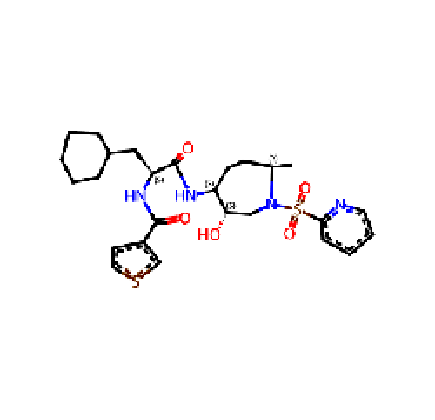 C[C@@H]1CC[C@H](NC(=O)[C@H](CC2CCCCC2)NC(=O)c2ccsc2)[C@@H](O)CN1S(=O)(=O)c1ccccn1